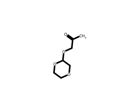 CC(=O)COC1COCCO1